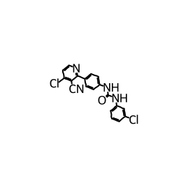 N#Cc1c(Cl)ccnc1-c1ccc(NC(=O)Nc2cccc(Cl)c2)cc1